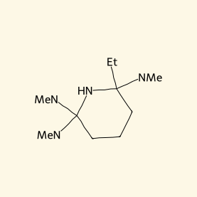 CCC1(NC)CCCC(NC)(NC)N1